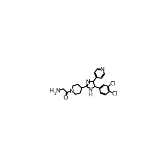 NCC(=O)N1CCC(C2=NC(c3ccncc3)C(c3ccc(Cl)c(Cl)c3)N2)CC1